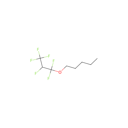 CCCCCOC(F)(F)C(F)C(F)(F)F